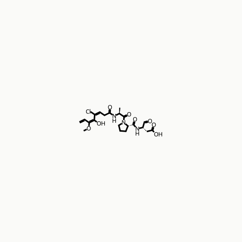 C=C/C(OC)=C(O)\C(Cl)=C/CC(=O)N[C@@H](C)C(=O)N1CCC[C@H]1C(=O)N[C@H](C=O)CC(=O)O